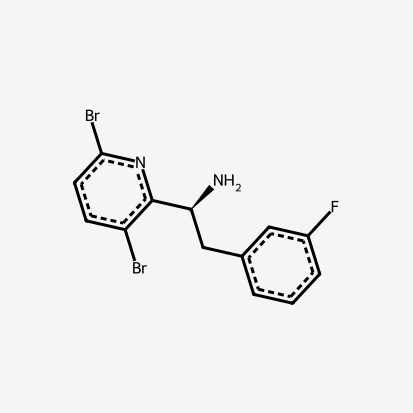 N[C@@H](Cc1cccc(F)c1)c1nc(Br)ccc1Br